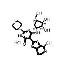 Cc1nccc2sc(-c3c(N[C@@H]4C[C@H](CO)[C@@H](O)[C@H]4O)nc(N4CCOCC4)[nH]c3=O)nc12.Cl